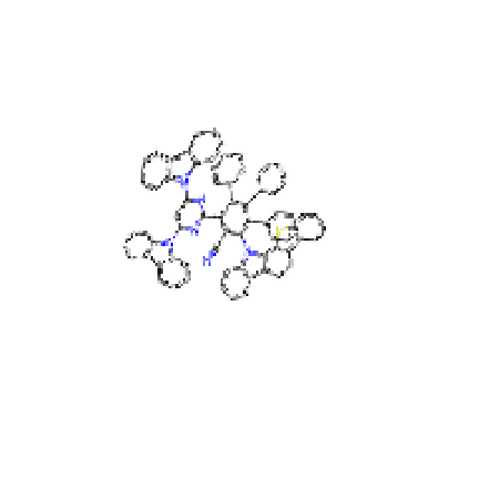 N#Cc1c(-c2nc(-n3c4ccccc4c4ccccc43)cc(-n3c4ccccc4c4ccccc43)n2)c(-c2ccccc2)c(-c2ccccc2)c(-c2ccccc2)c1-n1c2ccccc2c2ccc3c4ccccc4sc3c21